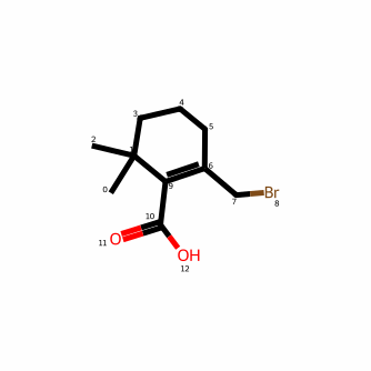 CC1(C)CCCC(CBr)=C1C(=O)O